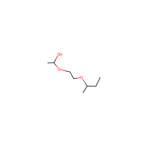 CCC(C)OCCOC(C)O